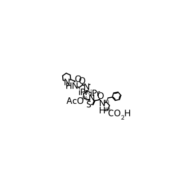 CC(=O)O[C@H](C[C@H](C(C)C)N(C)C(=O)C(NC(=O)C1CCCCN1C)C(C)C)c1nc(C(=O)N[C@@H](Cc2ccccc2)C[C@H](C)C(=O)O)cs1